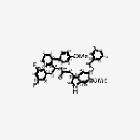 COc1ccc(-c2cccnc2C(Cc2cc(F)cc(F)c2)NC(=O)Cc2c[nH]c3cc(OC)c(OCc4ccccc4)cc23)cc1